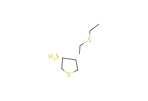 C1CCSC1.CCSCC.S